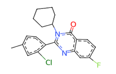 Cc1ccc(-c2nc3cc(F)ccc3c(=O)n2C2CCCCC2)c(Cl)c1